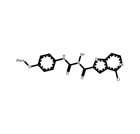 CCCC(C)Oc1ccc(NC(=O)N(S)C(=O)c2cc3c(Cl)nccc3o2)cc1